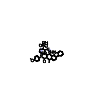 C=C(/N=N\c1c(O)c(C(=O)Nc2ccc(OC)cc2)c(C)c2ccc3c4ccccc4[nH]c3c12)/C(=C\C=C/C)S(=O)(=O)O